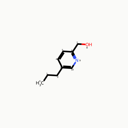 CCCc1ccc(CO)nc1